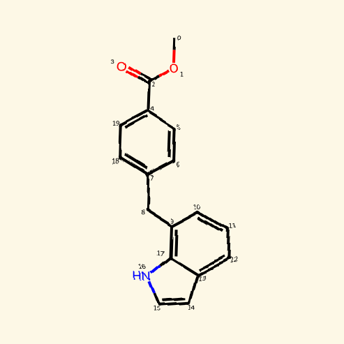 COC(=O)c1ccc(Cc2cccc3cc[nH]c23)cc1